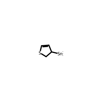 [Sn][CH]1C=CSC1